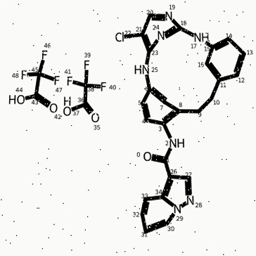 O=C(Nc1ccc2cc1CCc1cccc(c1)Nc1ncc(Cl)c(n1)N2)c1cnn2ccccc12.O=C(O)C(F)(F)F.O=C(O)C(F)(F)F